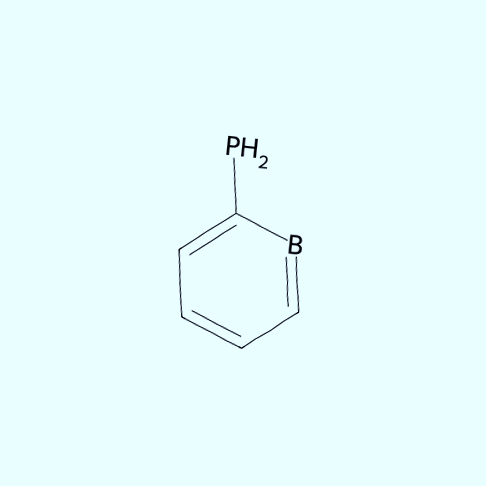 Pc1bcccc1